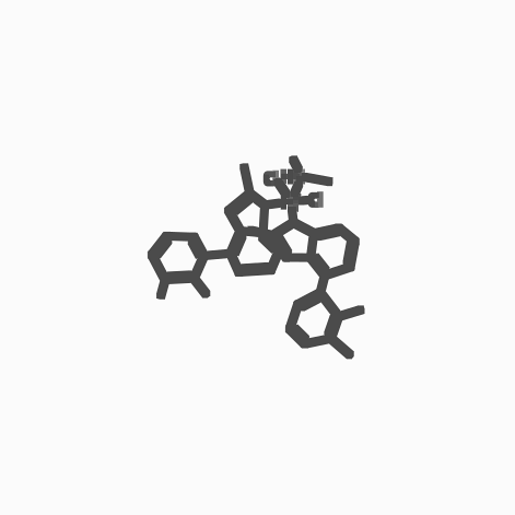 CC1=Cc2c(-c3cccc(C)c3C)cccc2[CH]1[Hf]([Cl])([Cl])([CH]1C(C)=Cc2c(-c3cccc(C)c3C)cccc21)[SiH](C)C